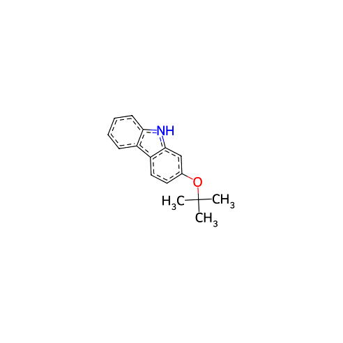 CC(C)(C)Oc1ccc2c(c1)[nH]c1ccccc12